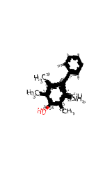 Cc1c(C)c(-c2ccccc2)c([SiH3])c(C)c1O